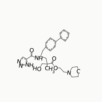 CC(CO)(CC(Cc1ccc(-c2ccccc2)cc1)NC(=O)c1cnn[nH]1)C(=O)OCCN1CCCCC1